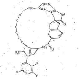 CC1C(c2cc(F)cc(F)c2F)CC2NC(=O)c3cnc4c(c3)C[C@@]3(C4)C(=O)Nc4ncc(cc43)/C=C/COCCCCCN1C2=O